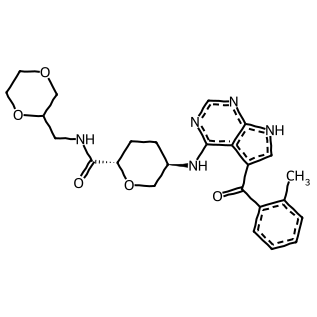 Cc1ccccc1C(=O)c1c[nH]c2ncnc(N[C@@H]3CC[C@@H](C(=O)NCC4COCCO4)OC3)c12